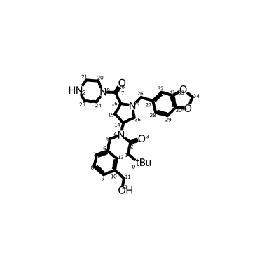 CC(C)(C)CC(=O)N(Cc1cccc(CO)c1)C1CC(C(=O)N2CCNCC2)N(Cc2ccc3c(c2)OCO3)C1